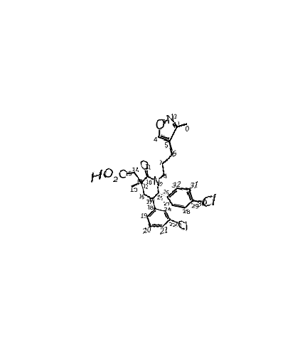 Cc1nocc1CCCN1C(=O)[C@@](C)(CC(=O)O)C[C@H](c2cccc(Cl)c2)[C@H]1c1ccc(Cl)cc1